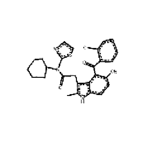 Cc1[nH]c2ccc(O)c(C(=O)c3ccccc3Cl)c2c1CC(=O)N(c1nccs1)C1CCCCC1